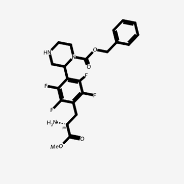 COC(=O)[C@H](N)Cc1c(F)c(F)c(C2CNCCN2C(=O)OCc2ccccc2)c(F)c1F